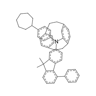 CC1(C)c2cc(N(c3ccc(C4CCCCCC4)cc3)c3cc4ccc3CCc3ccc(cc3)CC4)ccc2-c2c(-c3ccccc3)cccc21